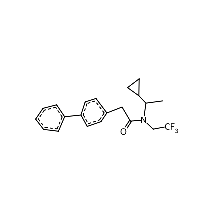 CC(C1CC1)N(CC(F)(F)F)C(=O)Cc1ccc(-c2ccccc2)cc1